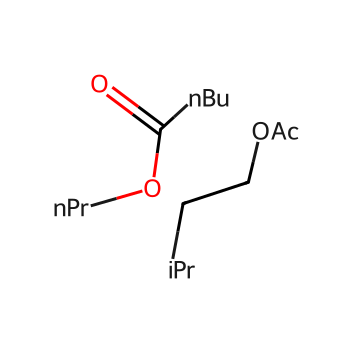 CC(=O)OCCC(C)C.CCCCC(=O)OCCC